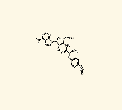 CN(C)c1ncnc2c1ncn2C1OC(CO)C(NC(=O)C(N)Cc2ccc(N=[N+]=[N-])cc2)C1O